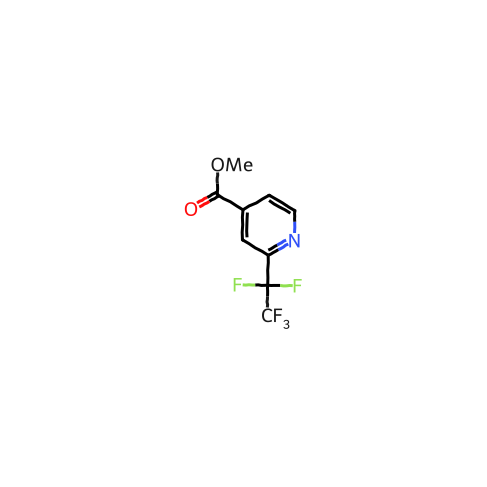 COC(=O)c1ccnc(C(F)(F)C(F)(F)F)c1